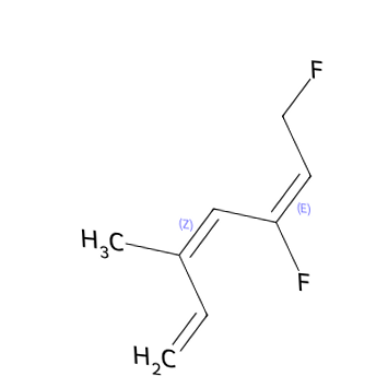 C=C/C(C)=C\C(F)=C/CF